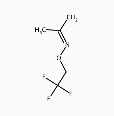 [CH2]C(C)=NOCC(F)(F)F